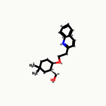 CC1(C)CC[C@@H](OCCc2ccc3ccccc3n2)[C@H](CO)C1